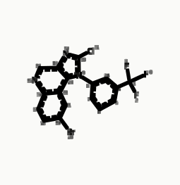 FC(F)(F)c1cccc(-n2c(Cl)nc3cnc4ccc(Br)cc4c32)c1